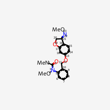 CNC(=O)N(OC)c1ccccc1COc1ccc2c(c1)OC/C2=N\OC